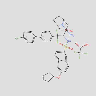 NC1CC2CCC(C1)N2C(=O)C(NS(=O)(=O)c1ccc2cc(OC3CCCC3)ccc2c1)C(F)(F)c1ccc(-c2ccc(Cl)cc2)cc1.O=C(O)C(F)(F)F